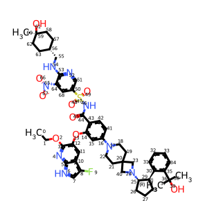 CCOc1nc2[nH]cc(F)c2cc1Oc1cc(N2CCC3(CC2)CN([C@@H]2CCC[C@@H]2c2ccccc2C(C)(C)O)C3)ccc1C(=O)NS(=O)(=O)c1cnc(NC[C@H]2CC[C@](C)(O)CC2)c([N+](=O)[O-])c1